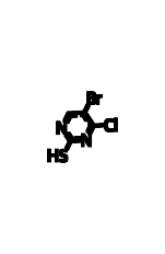 Sc1ncc(Br)c(Cl)n1